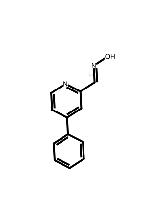 O/N=C/c1cc(-c2ccccc2)ccn1